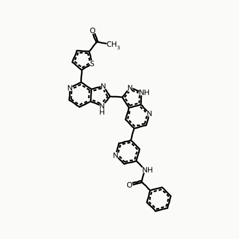 CC(=O)c1ccc(-c2nccc3[nH]c(-c4n[nH]c5ncc(-c6cncc(NC(=O)c7ccccc7)c6)cc45)nc23)s1